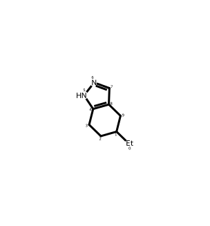 CCC1CCc2[nH]ncc2C1